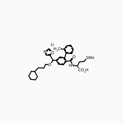 CSCC[C@H](NC(=O)c1ccc(C(OCCCC2CCCCC2)c2cnco2)cc1-c1ccccc1C)C(=O)O.[Li]